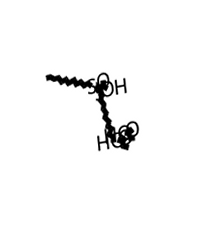 CCC(=O)O.CCC(=O)O.CCCCCCCCCCCCSCC(SCCCCCCCCCCCC)C(=O)O